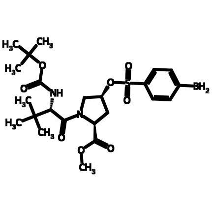 Bc1ccc(S(=O)(=O)O[C@H]2C[C@@H](C(=O)OC)N(C(=O)[C@@H](NC(=O)OC(C)(C)C)C(C)(C)C)C2)cc1